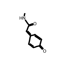 CNC(=O)C=C1C=CC(=O)C=C1